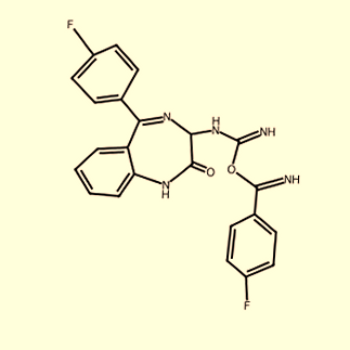 N=C(NC1N=C(c2ccc(F)cc2)c2ccccc2NC1=O)OC(=N)c1ccc(F)cc1